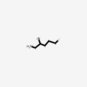 NCC(Br)CCCI